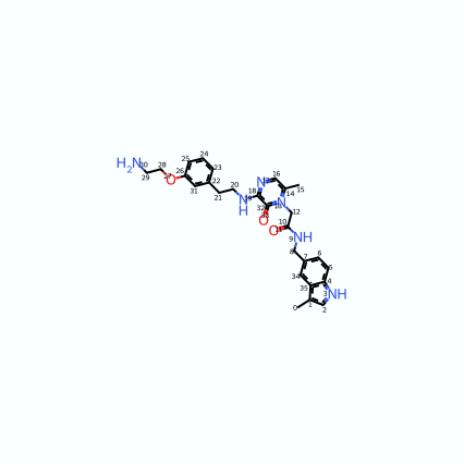 Cc1c[nH]c2ccc(CNC(=O)Cn3c(C)cnc(NCCc4cccc(OCCN)c4)c3=O)cc12